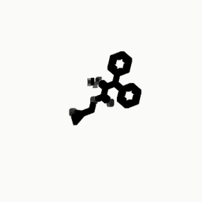 C=C(C(=O)OCC1CO1)C(c1ccccc1)c1ccccc1